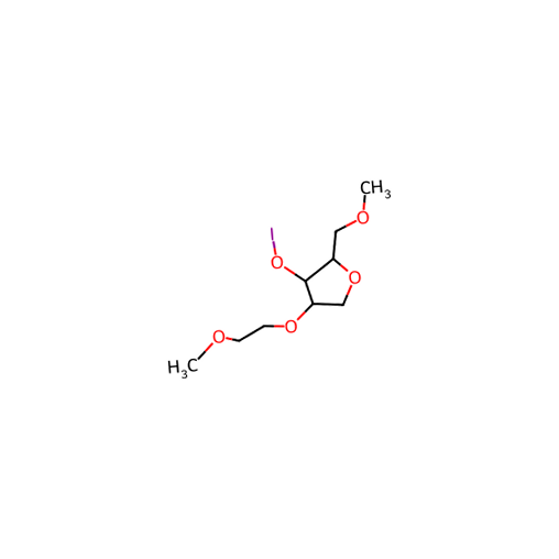 COCCOC1COC(COC)C1OI